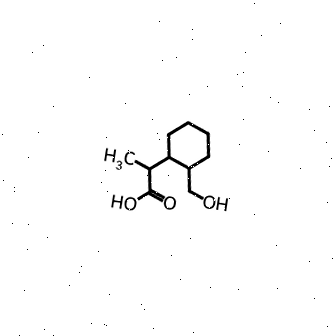 CC(C(=O)O)C1CCCCC1CO